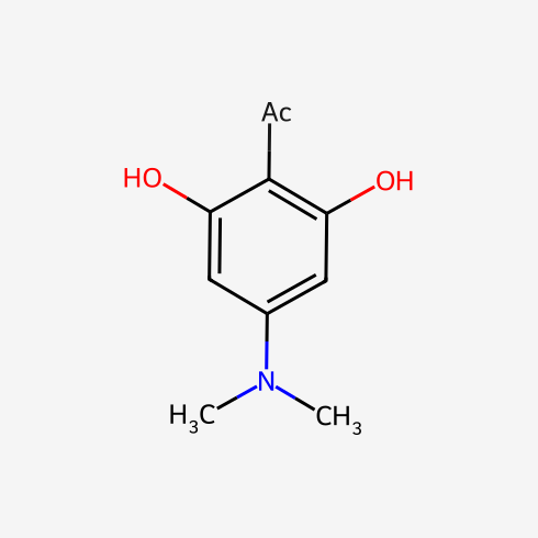 CC(=O)c1c(O)cc(N(C)C)cc1O